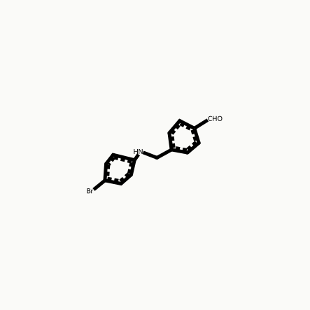 O=Cc1ccc(CNc2ccc(Br)cc2)cc1